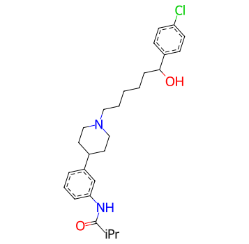 CC(C)C(=O)Nc1cccc(C2CCN(CCCCCC(O)c3ccc(Cl)cc3)CC2)c1